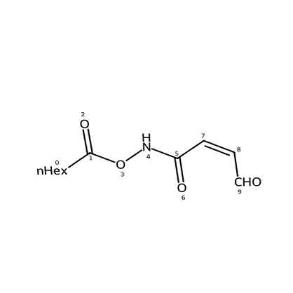 CCCCCCC(=O)ONC(=O)/C=C\C=O